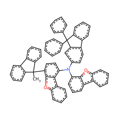 CC1(c2ccc(N(c3ccc4c(c3)C(c3ccccc3)(c3ccccc3)c3ccccc3-4)c3cccc4c3oc3ccccc34)c3c2oc2ccccc23)c2ccccc2-c2ccccc21